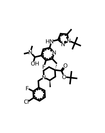 Cc1cc(Nc2cc(C(O)N(C)C)c(F)c(C[C@@]3(C(=O)OC(C)(C)C)CCN(Cc4cccc(Cl)c4F)[C@H](C)C3)n2)nn1C(C)(C)C